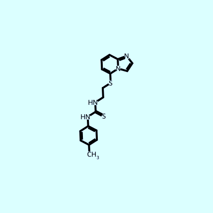 Cc1ccc(NC(=S)NCCSc2cccc3nccn23)cc1